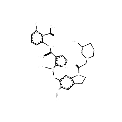 COc1cc2c(cc1NN(C)c1[nH]ccc1C(=N)Nc1cccc(F)c1C(N)=O)N(C(=O)CN1CCCC(O)C1)CC2